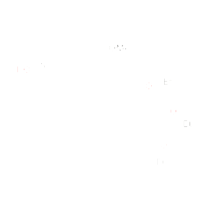 CCOc1cc(/C=C\c2ccc(OC)c(CC(C)(C)[Si](C)(C)O)c2)cc(OCC)c1OCC